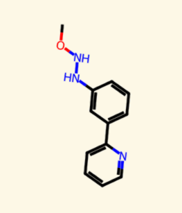 CONNc1cccc(-c2ccccn2)c1